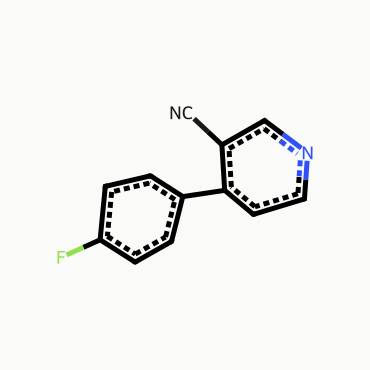 N#Cc1cnccc1-c1ccc(F)cc1